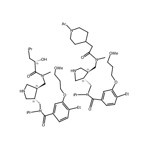 CCc1ccc(C(=O)N(C[C@@H]2CNC[C@H]2CN(C)C(=O)CC2CCN(C(C)=O)CC2)C(C)C)cc1OCCCOC.CCc1ccc(C(=O)N(C[C@@H]2CNC[C@H]2CN(C)C(=O)[C@@H](O)CC(C)C)C(C)C)cc1OCCCOC